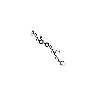 C=CC(=O)OCCOc1c(F)cc(-c2ccc(OCCOC(O)CCOCCC3CCOCC3)cc2)cc1F